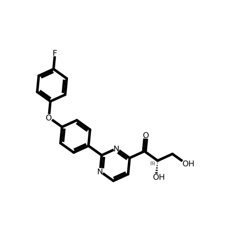 O=C(c1ccnc(-c2ccc(Oc3ccc(F)cc3)cc2)n1)[C@@H](O)CO